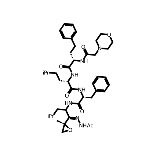 CC(=O)N/N=C(/C(CC(C)C)NC(=O)[C@H](Cc1ccccc1)NC(=O)[C@H](CCC(C)C)NC(=O)[C@H](CCc1ccccc1)NC(=O)CN1CCOCC1)[C@@]1(C)CO1